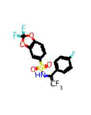 O=S(=O)(NC(c1ccc(F)cc1)C(F)(F)F)c1ccc2c(c1)OC(F)(F)O2